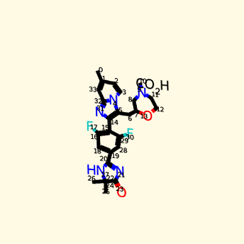 Cc1ccn2c(CC3CN(C(=O)O)CCO3)c(-c3c(F)cc(C4=NC(=O)C(C)(C)N4)cc3F)nc2c1